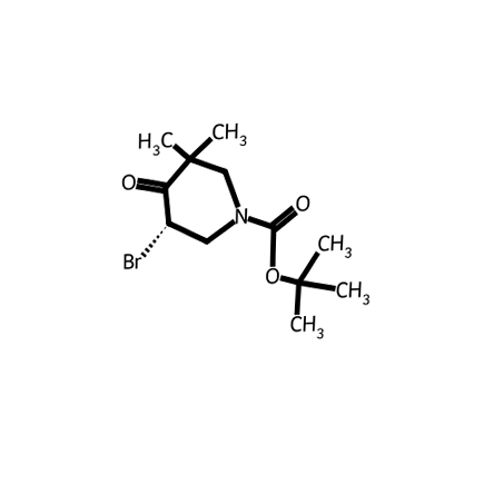 CC(C)(C)OC(=O)N1C[C@H](Br)C(=O)C(C)(C)C1